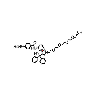 C#CCOCCOCCOCCOCCn1cc(C(Nc2ccccc2NC(=O)c2ccc(NC(C)=O)cc2)(c2ccccc2)c2ccccc2)nn1